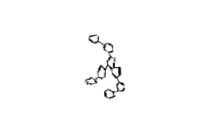 c1ccc(-c2cccc(-c3ccc4nc(-c5cccc(-c6ccccc6)c5)cc(-c5ccc(-c6ccncc6)cc5)c4c3)c2)cc1